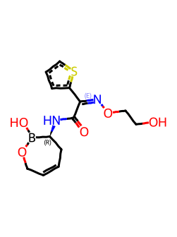 O=C(N[C@H]1CC=CCOB1O)/C(=N\OCCO)c1cccs1